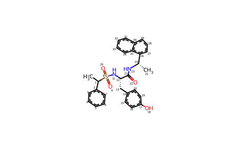 CC(c1ccccc1)S(=O)(=O)N[C@@H](Cc1ccc(O)cc1)C(=O)N[C@@H](C)c1cccc2ccccc12